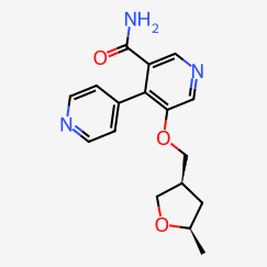 C[C@@H]1C[C@H](COc2cncc(C(N)=O)c2-c2ccncc2)CO1